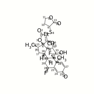 CCC(=O)O[C@]1(C(=O)CSC2CCOC2=O)[C@H](C)C[C@H]2[C@@H]3C[C@H](F)C4=CC(=O)C=C[C@]4(C)[C@@]3(F)[C@@H](O)C[C@@]21C